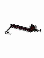 CCCCCCCCCCCCNC(=O)C(F)(F)OC(F)(F)C(F)(F)OC(F)(F)C(F)(F)OC(F)(F)C(F)(F)OC(F)(F)C(F)(F)OC(F)(F)C(F)(F)OC(F)(F)C(F)(F)OC(F)(F)C(F)(F)OC(F)(F)C(F)(F)OC(F)(F)C(F)(F)OC(F)(F)OC(F)(F)OC(F)(F)OC(F)(F)OC(F)(F)OC(F)(F)OC(F)(F)OC(F)(F)C(=O)NCCO